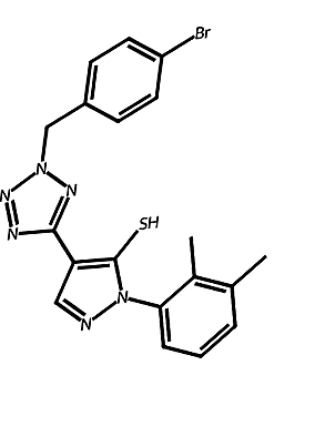 Cc1cccc(-n2ncc(-c3nnn(Cc4ccc(Br)cc4)n3)c2S)c1C